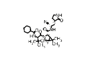 CC(C)(C)C(NC(=O)C1CCCCC1)C(=O)N1CC2C([C@H]1C(=O)N[C@H](C#N)C[C@@H]1CCNC1=O)C2(C)C